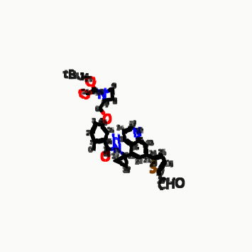 Cc1ccc(OC[C@@H]2CCN2C(=O)OC(C)(C)C)cc1C(=O)NC1(c2cc(-c3ccc(C=O)s3)cc3ncccc23)CC1